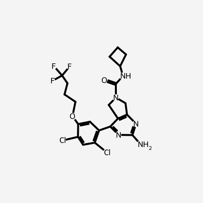 Nc1nc2c(c(-c3cc(OCCCC(F)(F)F)c(Cl)cc3Cl)n1)CN(C(=O)NC1CCC1)C2